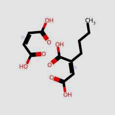 CCCC/C(=C/C(=O)O)C(=O)O.O=C(O)/C=C\C(=O)O